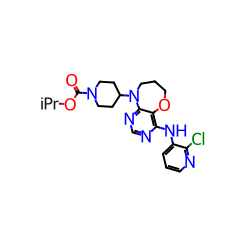 CC(C)OC(=O)N1CCC(N2CCCOc3c(Nc4cccnc4Cl)ncnc32)CC1